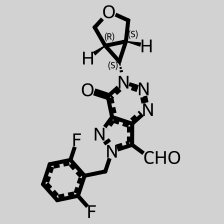 O=Cc1c2nnn([C@@H]3[C@@H]4COC[C@@H]43)c(=O)c2nn1Cc1c(F)cccc1F